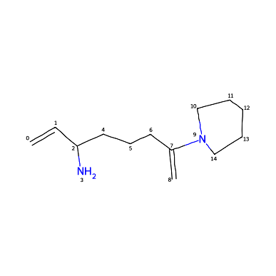 C=CC(N)CCCC(=C)N1CCCCC1